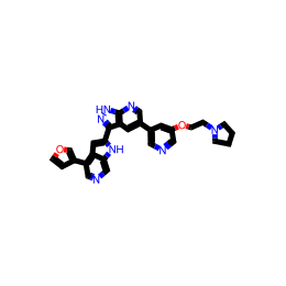 c1cc(-c2cncc3[nH]c(-c4n[nH]c5ncc(-c6cncc(OCCN7CCCC7)c6)cc45)cc23)co1